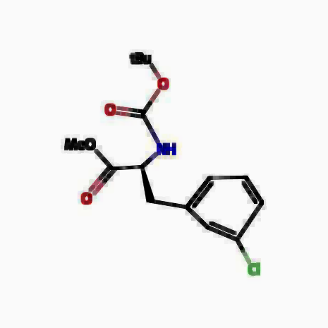 COC(=O)[C@H](Cc1cccc(Cl)c1)NC(=O)OC(C)(C)C